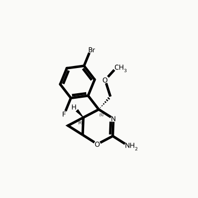 COC[C@]1(c2cc(Br)ccc2F)N=C(N)OC2C[C@@H]21